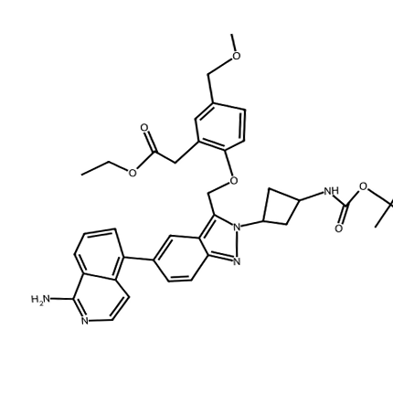 CCOC(=O)Cc1cc(COC)ccc1OCc1c2cc(-c3cccc4c(N)nccc34)ccc2nn1C1CC(NC(=O)OC(C)(C)C)C1